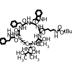 CC(O)C(NC(=O)[C@@H]1CSSC[C@H](NC(=O)[C@H](N)Cc2ccccc2)C(=O)N[C@@H](Cc2ccccc2)C(=O)N[C@H](Cc2c[nH]c3ccccc23)C(=O)N[C@@H](CCCCCNC(=O)OC(C)(C)C)C(=O)N[C@@H]([C@@H](C)O)C(=O)N1)[C@@H](C)O